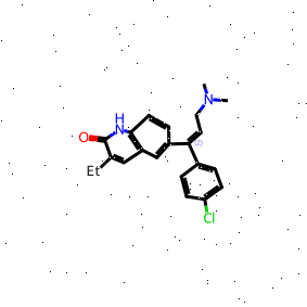 CCc1cc2cc(/C(=C\CN(C)C)c3ccc(Cl)cc3)ccc2[nH]c1=O